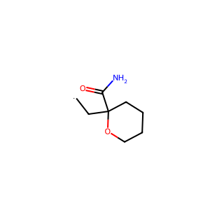 [CH2]CC1(C(N)=O)CCCCO1